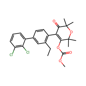 CCc1cc(-c2cccc(Cl)c2Cl)ccc1C1=C(OC(=O)OC)C(C)(C)OC(C)(C)C1=O